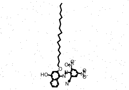 CCCCCCCCCCCCCCCCCCOc1cc(O)c2ccccc2c1N=Nc1c(C#N)cc([N+](=O)[O-])cc1[N+](=O)[O-]